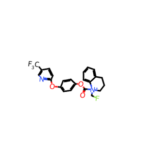 O=C(Oc1ccc(Oc2ccc(C(F)(F)F)cn2)cc1)[N+]1(CF)CCCc2ccccc21